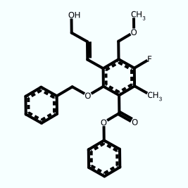 COCc1c(F)c(C)c(C(=O)Oc2ccccc2)c(OCc2ccccc2)c1C=CCO